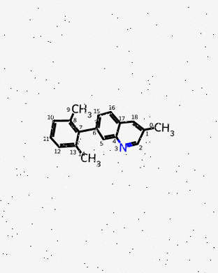 Cc1cnc2cc(-c3c(C)cccc3C)ccc2c1